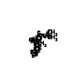 CCN(C)C=Nc1cc(C)c(C2(OCc3cc(C(F)(F)F)ccc3F)COC2)cc1F